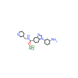 Cl.Cl.Nc1cccc(-n2cnc3cc(C(=O)NCc4cccnc4)ccc32)c1